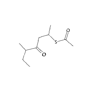 CCC(C)C(=O)CC(C)SC(C)=O